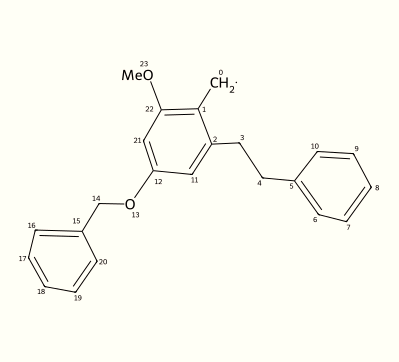 [CH2]c1c(CCc2ccccc2)cc(OCc2ccccc2)cc1OC